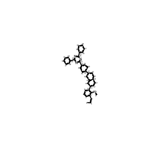 C=Nc1c(/C=C\C)cccc1-c1ccc2ccc(-c3ccc(-c4nc(-c5ccccc5)nc(-c5ccccc5)n4)cc3)cc2c1